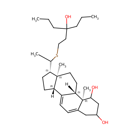 CCCC(O)(CCC)CCSC(C)[C@H]1CC[C@H]2C3=CC=C4CC(O)CC(O)[C@]4(C)[C@H]3CC[C@]12C